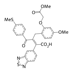 COC(=O)COc1cc(OC)ccc1CC(C(=O)c1ccc(SC)cc1)=C(C(=O)O)c1ccc2nsnc2c1